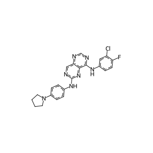 Fc1ccc(Nc2ncnc3cnc(Nc4ccc(N5CCCC5)cc4)nc23)cc1Cl